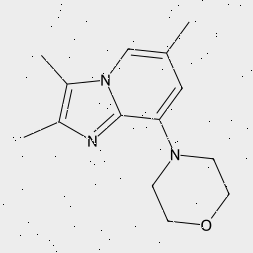 Cc1cc(N2CCOCC2)c2nc(C)c(C)n2c1